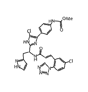 COC(=O)Nc1ccc(-c2nc(C(Cc3cc[nH]n3)NC(=O)C=Cc3cc(Cl)ccc3-n3cnnn3)[nH]c2Cl)cc1